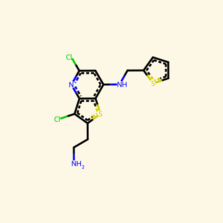 NCCc1sc2c(NCc3cccs3)cc(Cl)nc2c1Cl